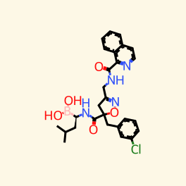 CC(C)C[C@H](NC(=O)C1(Cc2cccc(Cl)c2)CC(CNC(=O)c2nccc3ccccc23)=NO1)B(O)O